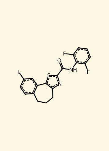 O=C(Nc1c(F)cccc1F)c1nc2c(s1)-c1cc(I)ccc1CCC2